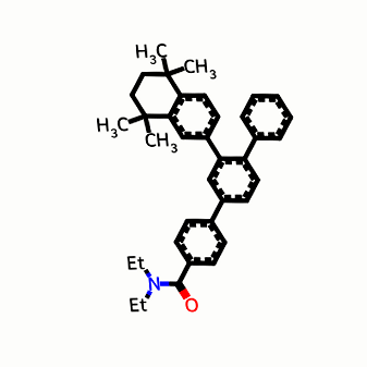 CCN(CC)C(=O)c1ccc(-c2ccc(-c3ccccc3)c(-c3ccc4c(c3)C(C)(C)CCC4(C)C)c2)cc1